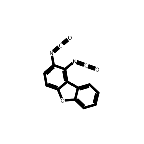 O=C=Nc1ccc2oc3ccccc3c2c1N=C=O